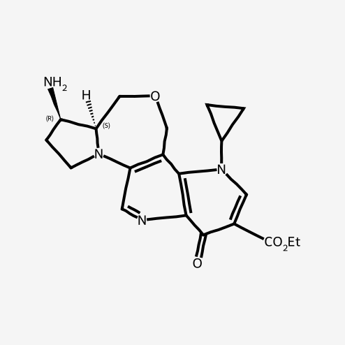 CCOC(=O)c1cn(C2CC2)c2c3c(cnc2c1=O)N1CC[C@@H](N)[C@H]1COC3